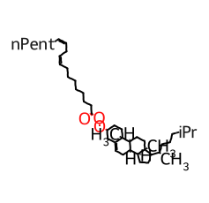 CCCCC/C=C\C/C=C\CCCCCCCC(=O)OO[C@H]1CC[C@@]2(C)C(=CC[C@H]3[C@@H]4CC[C@H]([C@H](C)CCCC(C)C)[C@@]4(C)CC[C@@H]32)C1